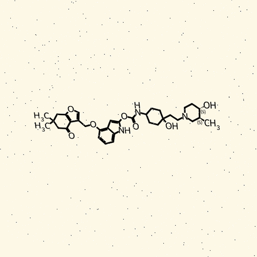 C[C@H]1CN(CCC2(O)CCC(NC(=O)Oc3cc4c(OCc5coc6c5C(=O)CC(C)(C)C6)cccc4[nH]3)CC2)CC[C@@H]1O